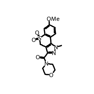 COc1ccc2c(c1)S(=O)(=O)Cc1c(C(=O)N3CCOCC3)nn(C)c1-2